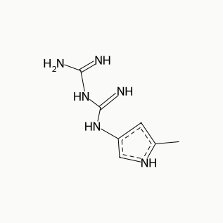 Cc1cc(NC(=N)NC(=N)N)c[nH]1